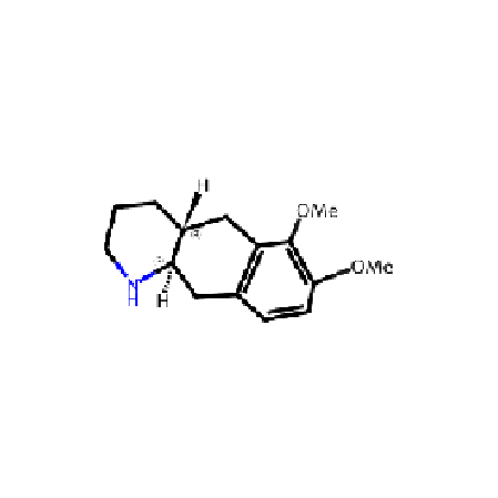 COc1ccc2c(c1OC)C[C@H]1CCCN[C@@H]1C2